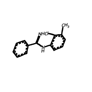 Cc1cccc(NC(=N)c2ccccc2)c1Cl